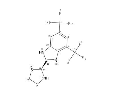 FC(F)(F)c1cc(C(F)(F)F)c2nc([C@H]3NCCS3)[nH]c2c1